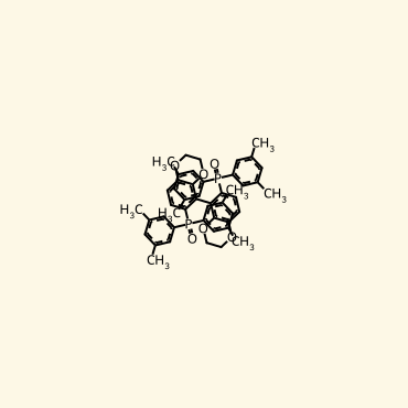 Cc1cc(C)cc(P(=O)(c2cc(C)cc(C)c2)c2ccc3c(c2-c2c(P(=O)(c4cc(C)cc(C)c4)c4cc(C)cc(C)c4)ccc4c2OCCO4)OCCO3)c1